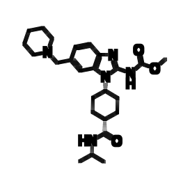 COC(=O)Nc1nc2ccc(CN3CCCCC3)cc2n1[C@H]1CC[C@@H](C(=O)NC(C)C)CC1